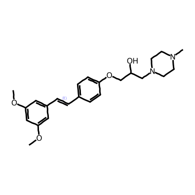 COc1cc(/C=C/c2ccc(OCC(O)CN3CCN(C)CC3)cc2)cc(OC)c1